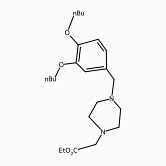 CCCCOc1ccc(CN2CCN(CC(=O)OCC)CC2)cc1OCCCC